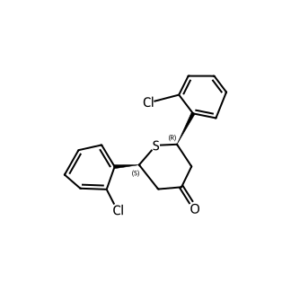 O=C1C[C@@H](c2ccccc2Cl)S[C@@H](c2ccccc2Cl)C1